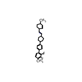 Cc1ccc(-c2ccc(C3CCC(/C=C/C4C=CC(C)CC4)CC3)cc2)c(F)c1F